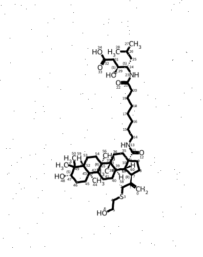 C=C(CSCCO)[C@@H]1CC[C@]2(C(=O)NCCCCCCCC(=O)N[C@@H](CC(C)C)[C@@H](O)CC(=O)O)CC[C@]3(C)[C@H](CCC4[C@@]5(C)CC[C@H](O)C(C)(C)[C@@H]5CC[C@]43C)[C@@H]12